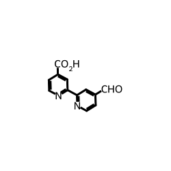 O=Cc1ccnc(-c2cc(C(=O)O)ccn2)c1